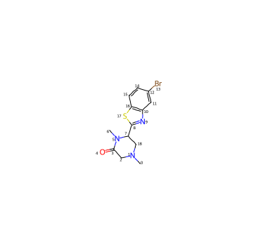 CN1CC(=O)N(C)C(c2nc3cc(Br)ccc3s2)C1